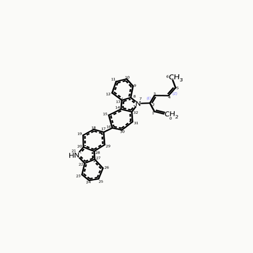 C=C/C(=C\C=C/C)n1c2ccccc2c2cc(-c3ccc4[nH]c5ccccc5c4c3)ccc21